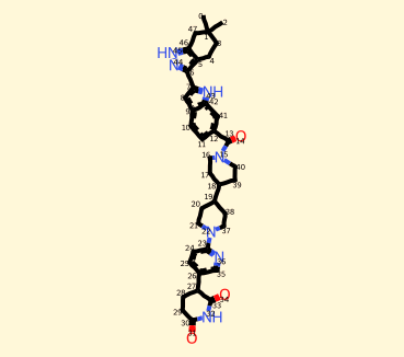 CC1(C)CCc2c(-c3cc4ccc(C(=O)N5CCC(C6CCN(c7ccc(C8CCC(=O)NC8=O)cn7)CC6)CC5)cc4[nH]3)n[nH]c2C1